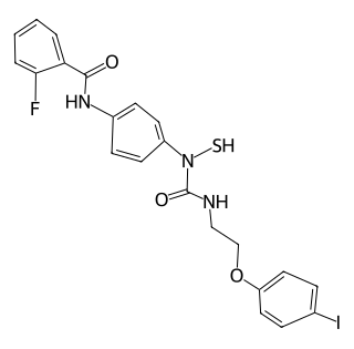 O=C(Nc1ccc(N(S)C(=O)NCCOc2ccc(I)cc2)cc1)c1ccccc1F